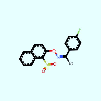 CCC(=NOc1ccc2ccccc2c1[SH](=O)=O)c1ccc(F)cc1